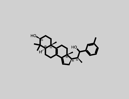 Cc1cccc(C(O)[C@@H](C)[C@H]2CC=C3C4=C(CC[C@@]32C)[C@@]2(C)CC[C@H](O)C(C)(C)[C@@H]2CC4)c1